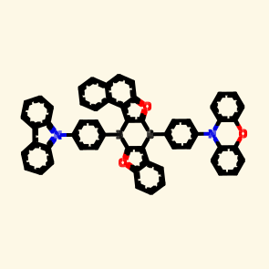 c1ccc2c(c1)Oc1ccccc1N2c1ccc(B2c3oc4ccc5ccccc5c4c3B(c3ccc(-n4c5ccccc5c5ccccc54)cc3)c3oc4ccccc4c32)cc1